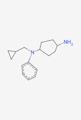 NC1CCC(N(CC2CC2)c2ccccc2)CC1